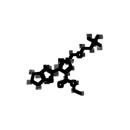 CCOC(=O)c1cn(COCC[Si](C)(C)C)nc1-c1nc2c(s1)CCC2